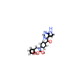 O=C(c1ncnc2[nH]ccc12)C1CCC(N(Cc2ccccc2)C(=O)O)CC1